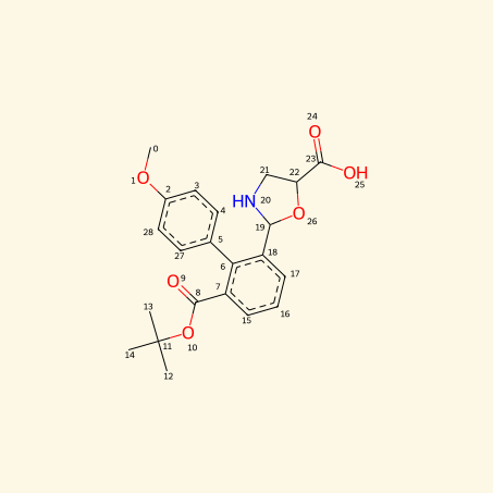 COc1ccc(-c2c(C(=O)OC(C)(C)C)cccc2C2NCC(C(=O)O)O2)cc1